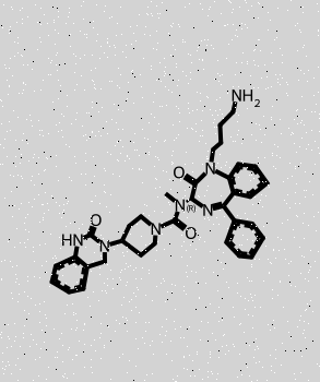 CN(C(=O)N1CCC(N2Cc3ccccc3NC2=O)CC1)[C@H]1N=C(c2ccccc2)c2ccccc2N(CCCCN)C1=O